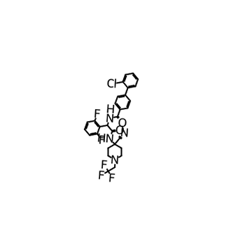 N#CC1(NC(=O)C(NC(=O)c2ccc(-c3ccccc3Cl)cc2)c2c(F)cccc2F)CCN(CC(F)(F)F)CC1